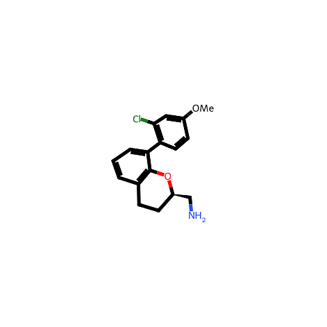 COc1ccc(-c2cccc3c2O[C@@H](CN)CC3)c(Cl)c1